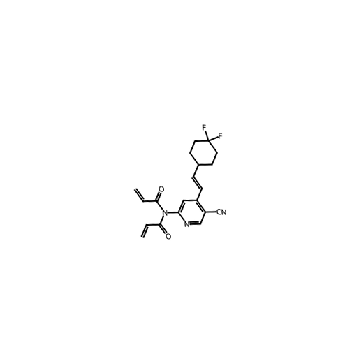 C=CC(=O)N(C(=O)C=C)c1cc(/C=C/C2CCC(F)(F)CC2)c(C#N)cn1